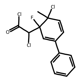 CC1(Cl)C=CC(c2ccccc2)=CC1(F)C(Cl)C(=O)Cl